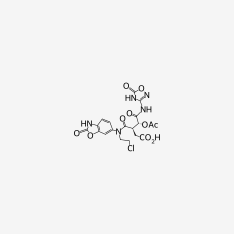 CC(=O)O[C@@H](C(=O)Nc1noc(=O)[nH]1)[C@@H](CC(=O)O)C(=O)N(CCCl)c1ccc2[nH]c(=O)oc2c1